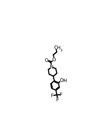 CCCOC(=O)N1CCC(c2ccc(C(F)(F)F)cc2O)CC1